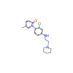 Cc1ccc(=O)n(-c2ccc(NCCN3CCCCC3)cc2Cl)c1